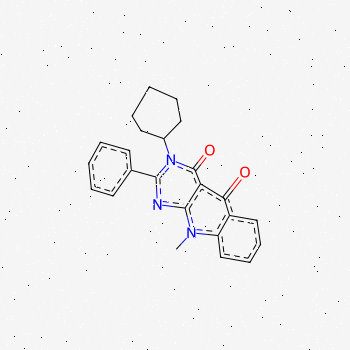 Cn1c2ccccc2c(=O)c2c(=O)n(C3CCCCC3)c(-c3ccccc3)nc21